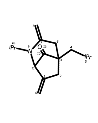 C=C1CC2(CC(C)C)CC(=C)N(C(C)C)C1C2=O